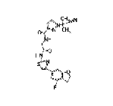 CC(C)(C#N)n1ccc(C(=O)NCC(=O)Nc2nc(-c3cc(F)c4c(c3)OCC4)cs2)n1